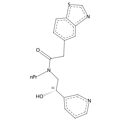 CCCN(C[C@@H](O)c1cccnc1)C(=O)Cc1ccc2scnc2c1